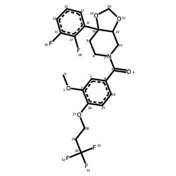 COc1cc(C(=O)N2CCC3(c4cccc(F)c4F)OCOC3C2)ccc1OCCC(F)(F)F